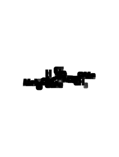 CNC(=O)c1ccc(NCC#Cc2cc3c(Nc4ccc(N(C)CCOC)cc4)cccc3n2CC(F)(F)F)c(OC)c1